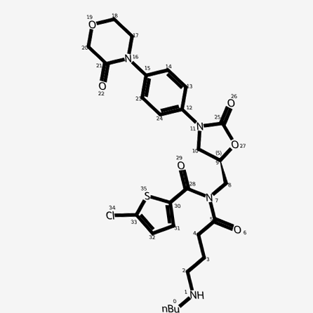 CCCCNCCCC(=O)N(C[C@H]1CN(c2ccc(N3CCOCC3=O)cc2)C(=O)O1)C(=O)c1ccc(Cl)s1